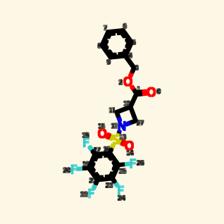 O=C(OCc1ccccc1)C1CN(S(=O)(=O)c2c(F)c(F)c(F)c(F)c2F)C1